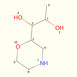 CC(O)C(O)C1CNCCO1